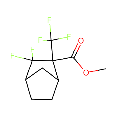 COC(=O)C1(C(F)(F)F)C2CCC(C2)C1(F)F